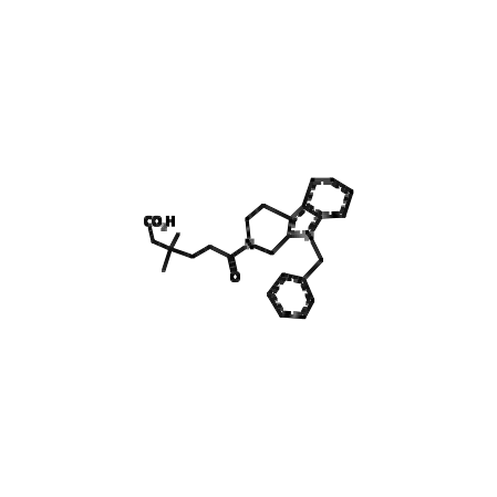 CC(C)(CCC(=O)N1CCc2c(n(Cc3ccccc3)c3ccccc23)C1)CC(=O)O